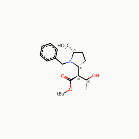 C[C@@H](O)[C@@H](C(=O)OC(C)(C)C)[C@H]1CC[C@@H](C(=O)O)N1Cc1ccccc1